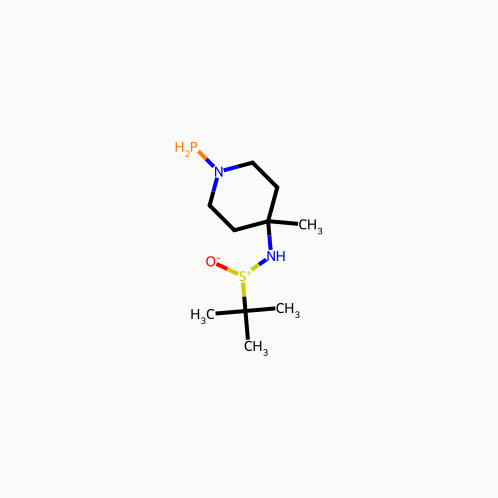 CC1(N[S+]([O-])C(C)(C)C)CCN(P)CC1